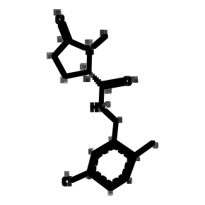 Cc1ccc(Cl)cc1CNC(=O)[C@@H]1CCC(=O)N1C